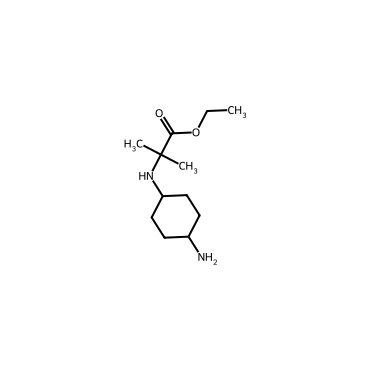 CCOC(=O)C(C)(C)NC1CCC(N)CC1